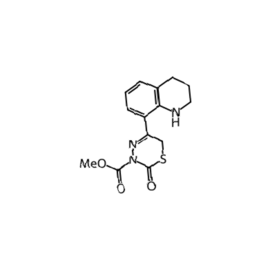 COC(=O)N1N=C(c2cccc3c2NCCC3)CSC1=O